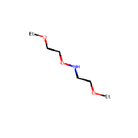 CCOCCNOCCOCC